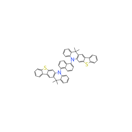 CC1(C)c2ccccc2N(c2cccc3c(N4c5ccccc5C(C)(C)c5cc6c(cc54)sc4ccccc46)cccc23)c2cc3sc4ccccc4c3cc21